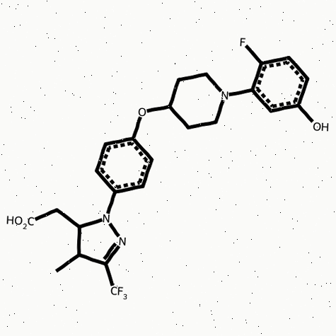 CC1C(C(F)(F)F)=NN(c2ccc(OC3CCN(c4cc(O)ccc4F)CC3)cc2)C1CC(=O)O